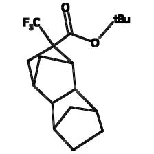 CC(C)(C)OC(=O)C1(C(F)(F)F)CC2CC1C1C3CCC(C3)C21